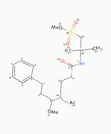 COC(CCc1ccccc1)C(CCC(=O)NC(C)(C)CS(=O)(=O)OC)C(C)=O